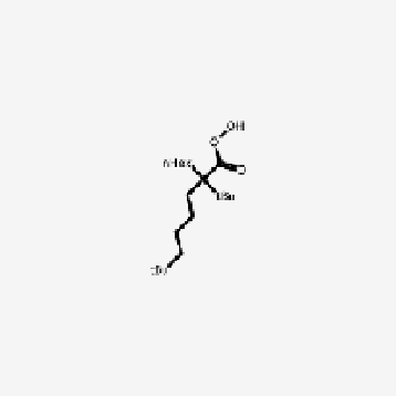 CCCCCCC(CCCCC(C)(C)C)(C(=O)OO)C(C)(C)C